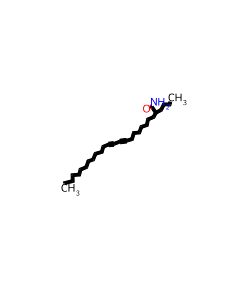 CCCCCCCCCCCCC#CC#CCCCCCCCC(CCCC)C(N)=O